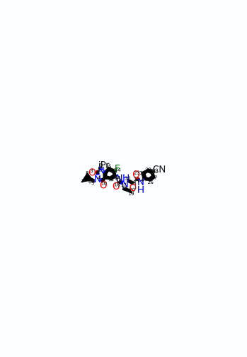 CC(C)n1c(=O)n(CC2CC2)c(=O)c2cc(NC(=O)N3CCO[C@@H](C(=O)Nc4ccc(C#N)cc4)C3)c(F)cc21